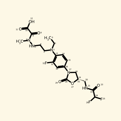 CCN(CCNN(C)C(=O)C(=O)O)c1ccc(N2C[C@H](CNC(=O)C(F)F)OC2=O)cc1F